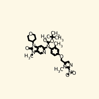 Cc1cc(OCc2cnc([N+](=O)[O-])n2C)ccc1N(C(=O)OC(C)(C)C)c1cc2c(cn1)n(C)c(=O)n2C1CCOCC1